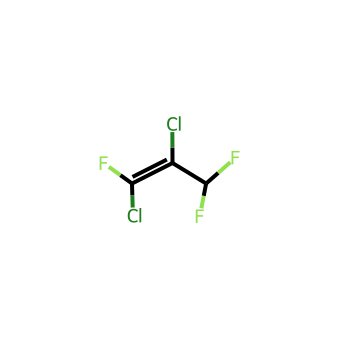 FC(Cl)=C(Cl)C(F)F